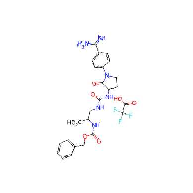 N=C(N)c1ccc(N2CCC(NC(=O)NCC(NC(=O)OCc3ccccc3)C(=O)O)C2=O)cc1.O=C(O)C(F)(F)F